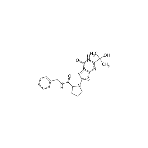 CC(C)(O)c1nc2sc(N3CCCC3C(=O)NCc3ccccc3)nc2c(=O)[nH]1